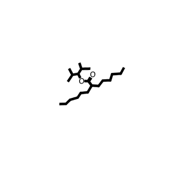 CCCCCCC(CCCCCC)C(=O)OC(C(C)C)C(C)C